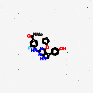 CNC(=O)c1ccc(Nc2nc(OC3CCCC3)c3c(-c4ccc(O)cc4)c[nH]c3n2)c(F)c1